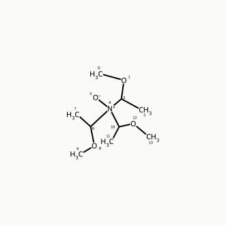 COC(C)[N+]([O-])(C(C)OC)C(C)OC